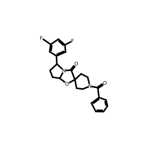 O=C(c1ccccc1)N1CCC2(CC1)OC1CCC(c3cc(F)cc(F)c3)N1C2=O